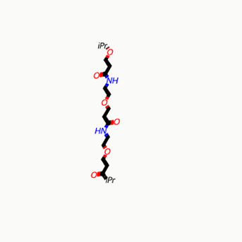 CC(C)OCCC(=O)NCCOCCC(=O)NCCOCCC(=O)C(C)C